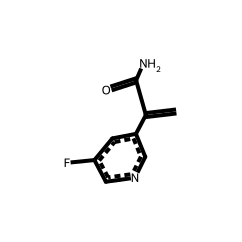 C=C(C(N)=O)c1cncc(F)c1